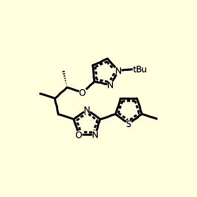 Cc1ccc(-c2noc(CC(C)[C@H](C)Oc3ccn(C(C)(C)C)n3)n2)s1